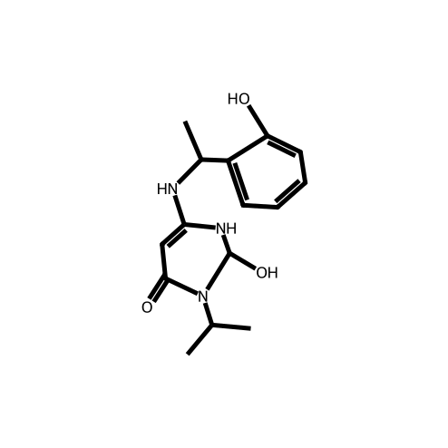 CC(NC1=CC(=O)N(C(C)C)C(O)N1)c1ccccc1O